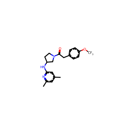 Cc1cc(C)nc(NC2CCN(C(=O)Cc3ccc(OC(F)(F)F)cc3)C2)c1